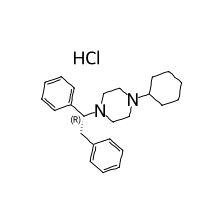 Cl.c1ccc(C[C@H](c2ccccc2)N2CCN(C3CCCCC3)CC2)cc1